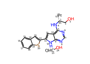 CC(C)[C@H](CO)Nc1ncnc2[nH]c(-c3cc4ccccc4s3)cc12.O=CO